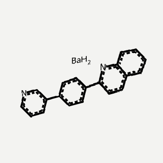 [BaH2].c1cncc(-c2ccc(-c3ccc4ccccc4n3)cc2)c1